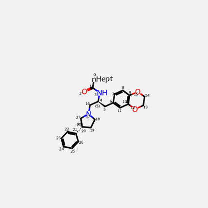 CCCCCCCC(=O)N[C@@H](Cc1ccc2c(c1)OCCO2)CN1CC[C@H](c2ccccc2)C1